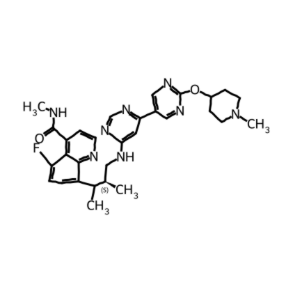 CNC(=O)c1ccnc2c(C(C)[C@H](C)CNc3cc(-c4cnc(OC5CCN(C)CC5)nc4)ncn3)ccc(F)c12